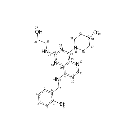 CCc1ccccc1CNc1ncnc2c(N3CC[S+]([O-])CC3)nc(NCCO)nc12